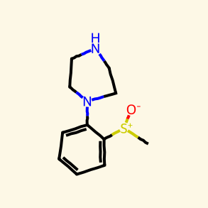 C[S+]([O-])c1ccccc1N1CCNCC1